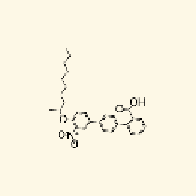 CCCCCCCCC(C)Oc1ccc(-c2ccc(-c3ccccc3C(=O)O)cc2)cc1[N+](=O)[O-]